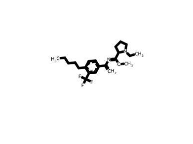 C=C(/N=C(\OC)C1CCCN1CC)c1ccc(CCCCC)c(C(F)(F)F)c1